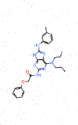 CCCN(CCC)c1nc(NC(=O)COc2ccccc2)nc2[nH]c(Nc3cccc(C)c3)nc12